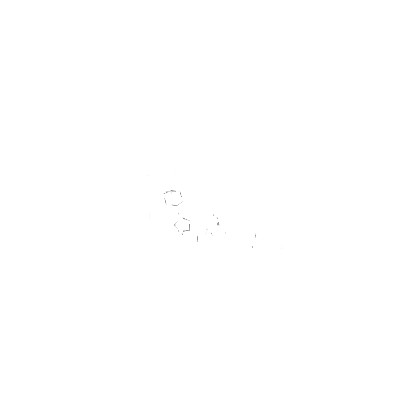 CCc1nc(C(=O)NCC2(C#N)CCC(S(C)(=O)=O)CC2)c(F)n1-c1ccc(CC(C)(C)C(F)(F)F)cc1OC(F)F